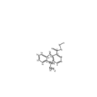 C=C(CCC)c1ccccc1Sc1ccccc1NN